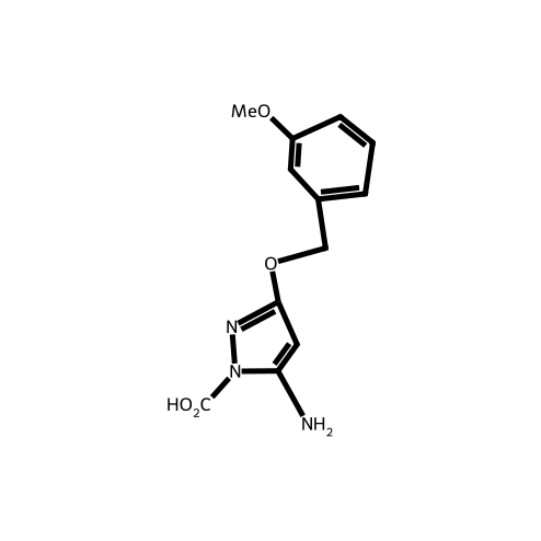 COc1cccc(COc2cc(N)n(C(=O)O)n2)c1